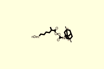 CCCCCCCCCCCCCCC(C)C(=O)OOC(=O)NC12CC3C[C@@](C)(C1)C[C@](C)(C3)C2